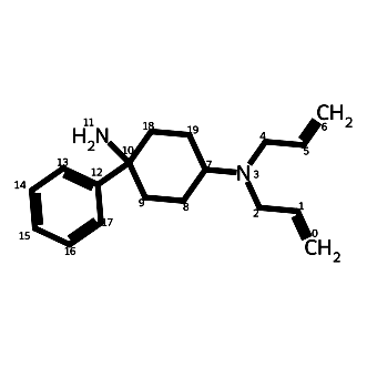 C=CCN(CC=C)C1CCC(N)(c2ccccc2)CC1